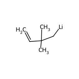 [Li][CH2]C(C)(C)C=C